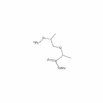 CCCOC(C)COC(C)C(=O)OC